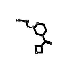 O=C(C1COC1)N1CCO[C@@H](CNS)C1